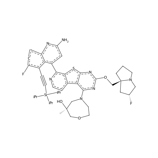 CC(C)[Si](C#Cc1c(F)ccc2nc(N)cc(-c3nccc4c3sc3nc(OC[C@@]56CCCN5C[C@H](F)C6)nc(N5CCOC[C@@](C)(O)C5)c34)c12)(C(C)C)C(C)C